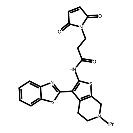 CC(C)N1CCc2c(sc(NC(=O)CCN3C(=O)C=CC3=O)c2-c2nc3ccccc3s2)C1